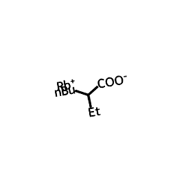 CCCCC(CC)C(=O)[O-].[Rb+]